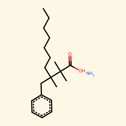 CCCCCCCC(C)(Cc1ccccc1)C(C)(C)C(=O)O.N